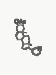 CC(=O)O[C@H]1CCC2(C)C(=CCC3C2CC[C@]2(C)C(c4cccnc4)=CCC32)C1